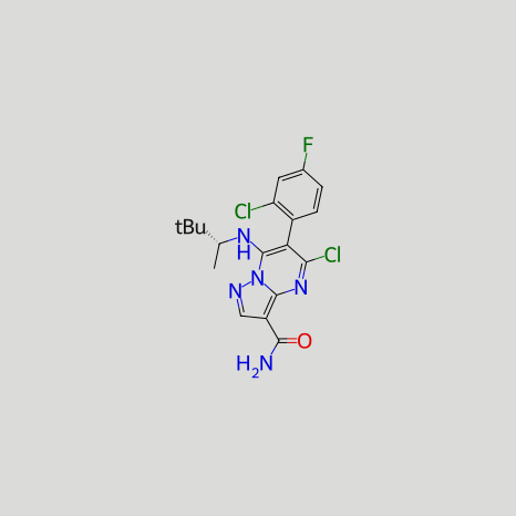 C[C@@H](Nc1c(-c2ccc(F)cc2Cl)c(Cl)nc2c(C(N)=O)cnn12)C(C)(C)C